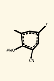 COc1c(C)cc(F)cc1C#N